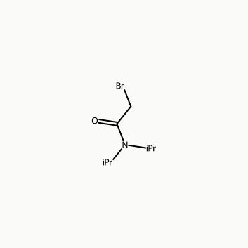 CC(C)N(C(=O)CBr)C(C)C